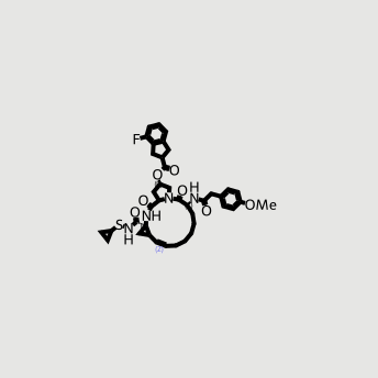 COc1ccc(CC(=O)N[C@H]2CCCCC/C=C\C3C[C@@]3(C(=O)NSC3CC3)NC(=O)C3C[C@@H](OC(=O)C4Cc5cccc(F)c5C4)CN3C2=O)cc1